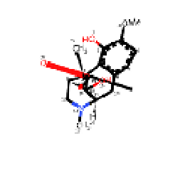 COc1ccc2c(c1O)[C@]13CCN(C)[C@H](C2)C1(O)CCC(=O)[C@@H]3C